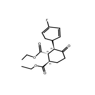 CCOC(=O)[C@@H]1[C@@H](C2C=CC(F)=CC2)C(=O)CC[C@H]1C(=O)OCC